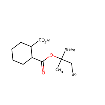 CCCCCCC(C)(CC(C)C)OC(=O)C1CCCCC1C(=O)O